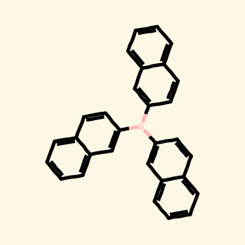 c1ccc2cc(B(c3ccc4ccccc4c3)c3ccc4ccccc4c3)ccc2c1